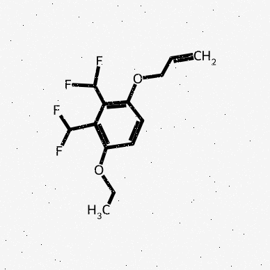 C=CCOc1ccc(OCC)c(C(F)F)c1C(F)F